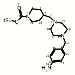 CC(C)(C)OC(=O)N1CCC(CN2CCN(Cc3ccc(N)cc3)CC2)CC1